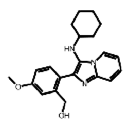 COc1ccc(-c2nc3ccccn3c2NC2CCCCC2)c(CO)c1